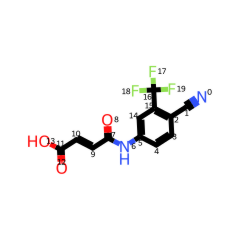 N#Cc1ccc(NC(=O)C=CC(=O)O)cc1C(F)(F)F